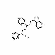 CC(CCC(CCC(C)c1cnccn1)c1ccncn1)c1cncnc1